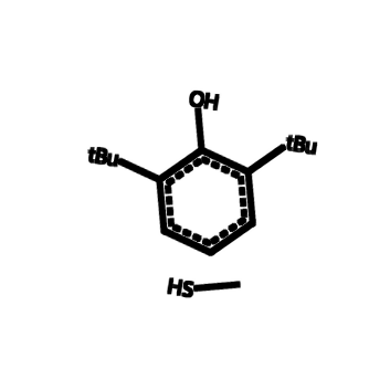 CC(C)(C)c1cccc(C(C)(C)C)c1O.CS